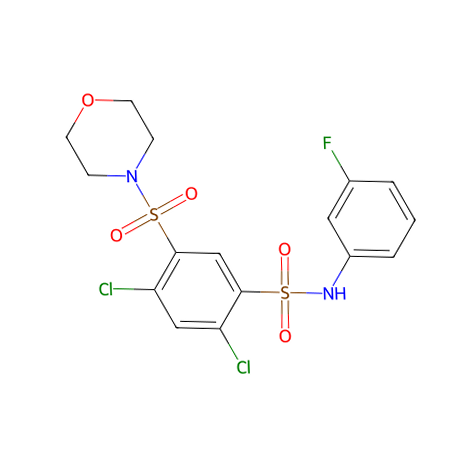 O=S(=O)(Nc1cccc(F)c1)c1cc(S(=O)(=O)N2CCOCC2)c(Cl)cc1Cl